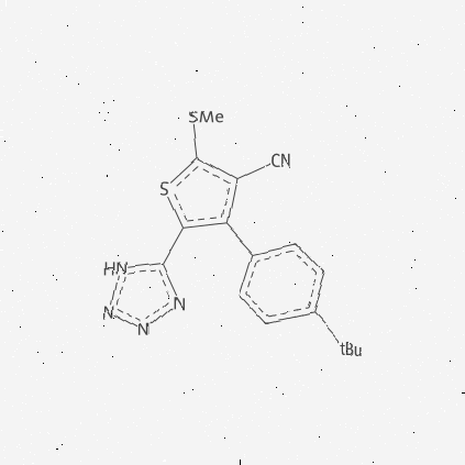 CSc1sc(-c2nnn[nH]2)c(-c2ccc(C(C)(C)C)cc2)c1C#N